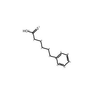 OC(=S)CCCCCc1ccccc1